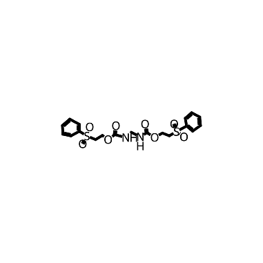 O=C(NCNC(=O)OCCS(=O)(=O)c1ccccc1)OCCS(=O)(=O)c1ccccc1